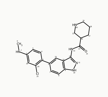 CNc1ccc(-c2ccc3[nH]nc(NC(=O)C4CCCNC4)c3c2)c(Cl)c1